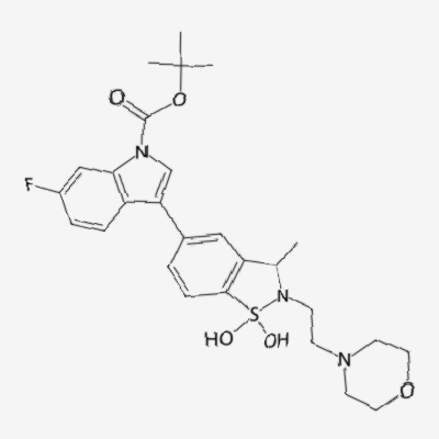 CC1c2cc(-c3cn(C(=O)OC(C)(C)C)c4cc(F)ccc34)ccc2S(O)(O)N1CCN1CCOCC1